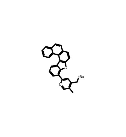 Cc1cnc(-c2cccc3c2oc2ccc4ccc5ccccc5c4c23)cc1CC(C)(C)C